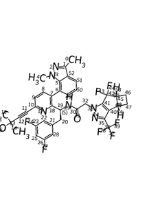 Cc1nn(C)c2c(-c3ccc(C#CC(C)(C)O)nc3[C@H](Cc3cc(F)cc(F)c3)NC(=O)Cn3nc(C(F)(F)F)c4c3C(F)(F)[C@@H]3CC[C@H]43)cccc12